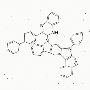 C1=CCCC(n2c3cc4c(cc3c3c5ccccc5ccc32)c2ccccc2n4C2Nc3ccccc3N=C2C2=CCC(C3C=CC=CC3)C=C2)=C1